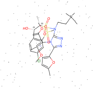 C=C(OC)/C(=C(\C)OC)n1c(-c2ccc(C)o2)nnc1N(CC[Si](C)(C)C)S(=O)(=O)[C@@H](C)[C@@H](O)c1ccc(Cl)cc1S(C)(=O)=O